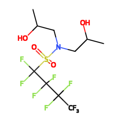 CC(O)CN(CC(C)O)S(=O)(=O)C(F)(F)C(F)(F)C(F)(F)C(F)(F)F